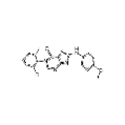 COc1ccc(Nc2nc3ncn(-c4c(C)cccc4Cl)c(=O)c3s2)cc1